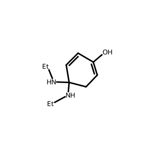 CCNC1(NCC)C=CC(O)=CC1